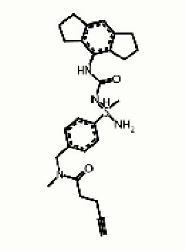 C#CCCC(=O)N(C)Cc1ccc([SH](C)(N)=NC(=O)Nc2c3c(cc4c2CCC4)CCC3)cc1